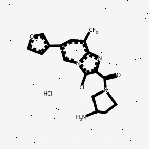 Cl.NC1CCN(C(=O)c2nc3c(C(F)(F)F)cc(-c4ccoc4)cn3c2Cl)C1